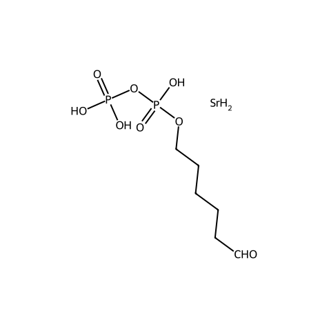 O=CCCCCCOP(=O)(O)OP(=O)(O)O.[SrH2]